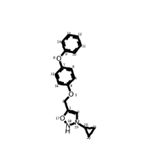 C1=C(COc2ccc(Oc3ccccc3)cc2)ONN1C1CC1